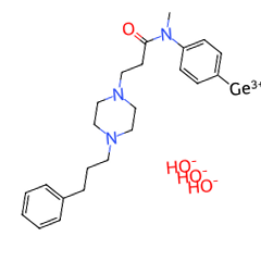 CN(C(=O)CCN1CCN(CCCc2ccccc2)CC1)c1cc[c]([Ge+3])cc1.[OH-].[OH-].[OH-]